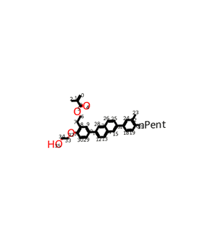 C=C(C)C(=O)OCCc1cc(-c2ccc3cc(-c4ccc(CCCCC)c(C)c4)ccc3c2)ccc1OCCO